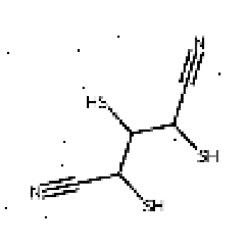 N#CC(S)C(S)C(S)C#N